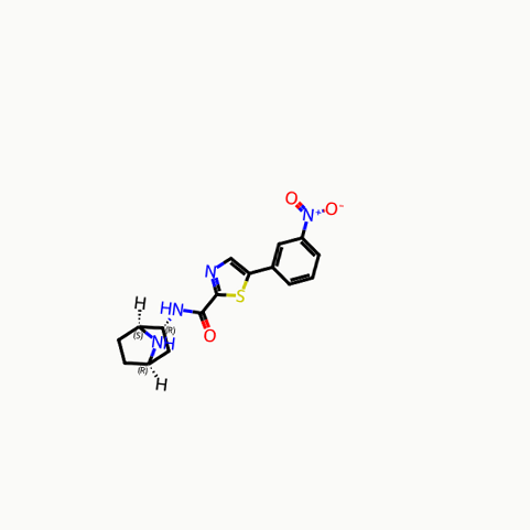 O=C(N[C@@H]1C[C@H]2CC[C@@H]1N2)c1ncc(-c2cccc([N+](=O)[O-])c2)s1